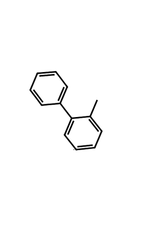 Cc1cc[c]cc1-c1ccccc1